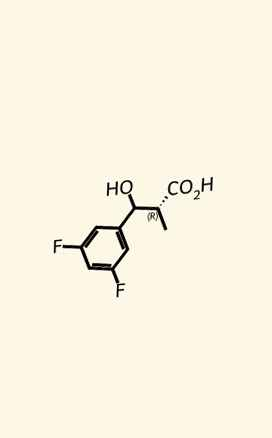 C[C@@H](C(=O)O)C(O)c1cc(F)cc(F)c1